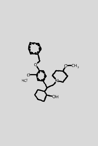 COC1CCN(CC(c2ccc(OCc3ccccc3)c(Cl)c2)C2CCCCC2O)CC1.Cl